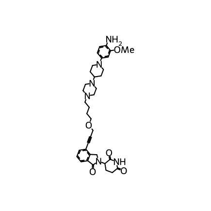 COc1cc(N2CCC(N3CCN(CCCCOCC#Cc4cccc5c4CN(C4CCC(=O)NC4=O)C5=O)CC3)CC2)ccc1N